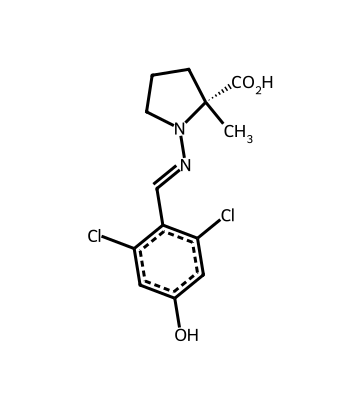 C[C@]1(C(=O)O)CCCN1N=Cc1c(Cl)cc(O)cc1Cl